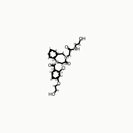 O=C(CN1Cc2ccccc2N(C(=O)c2ccc(OCCO)cc2Cl)CC1=O)NCCO